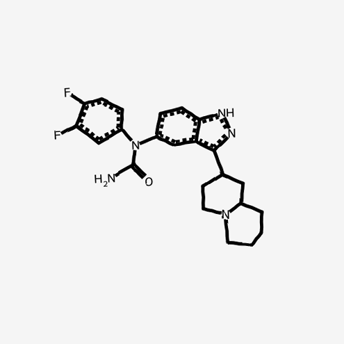 NC(=O)N(c1ccc(F)c(F)c1)c1ccc2[nH]nc(C3CCN4CCCCC4C3)c2c1